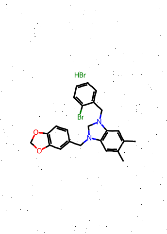 Br.Cc1cc2c(cc1C)N(Cc1ccccc1Br)CN2Cc1ccc2c(c1)OCO2